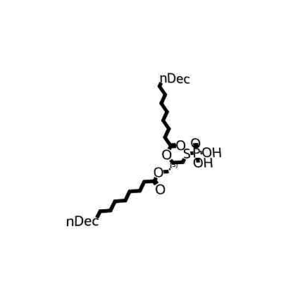 CCCCCCCCCCCCCCCCCC(=O)OC[C@@H](CSP(=O)(O)O)OC(=O)CCCCCCCCCCCCCCCCC